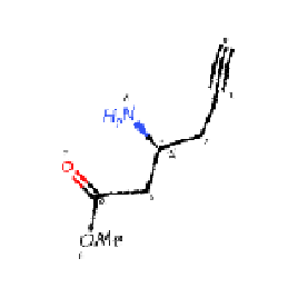 C#CC[C@H](N)CC(=O)OC